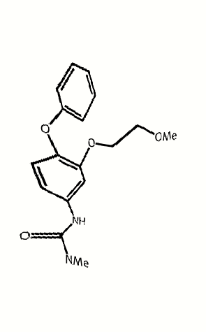 CNC(=O)Nc1ccc(Oc2ccccc2)c(OCCOC)c1